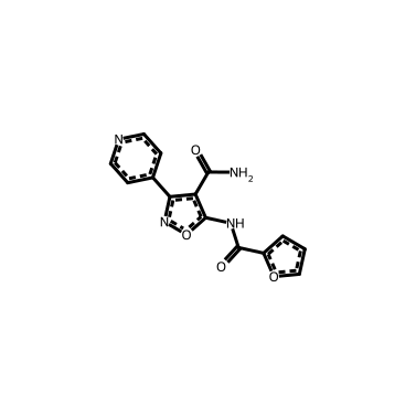 NC(=O)c1c(-c2ccncc2)noc1NC(=O)c1ccco1